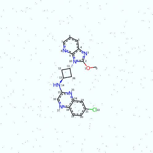 COc1nc2cccnc2n1[C@H]1C[C@H](Nc2cnc3ccc(Cl)cc3n2)C1